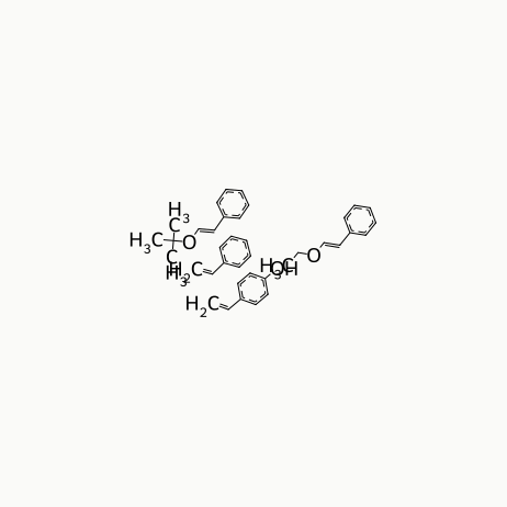 C=Cc1ccc(O)cc1.C=Cc1ccccc1.CC(C)(C)OC=Cc1ccccc1.CCOC=Cc1ccccc1